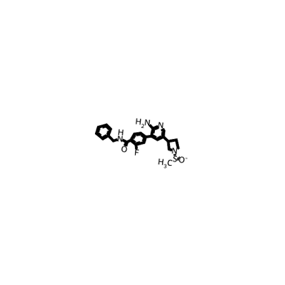 C[S+]([O-])N1CCC(c2cnc(N)c(-c3ccc(C(=O)NCc4ccccc4)c(F)c3)c2)C1